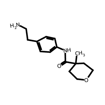 CC1(C(=O)Nc2ccc(CCN)cc2)CCOCC1